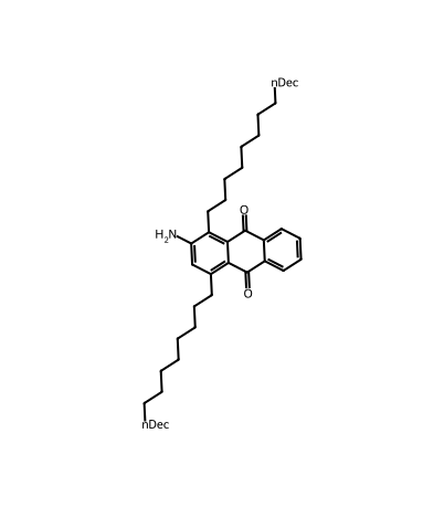 CCCCCCCCCCCCCCCCCCc1cc(N)c(CCCCCCCCCCCCCCCCCC)c2c1C(=O)c1ccccc1C2=O